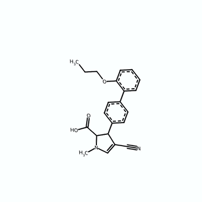 CCCOc1ccccc1-c1ccc(C2C(C#N)=CN(C)C2C(=O)O)cc1